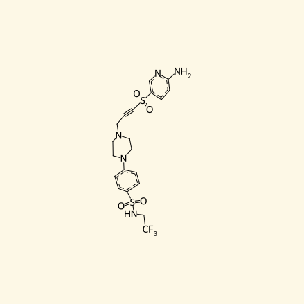 Nc1ccc(S(=O)(=O)C#CCN2CCN(c3ccc(S(=O)(=O)NCC(F)(F)F)cc3)CC2)cn1